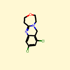 Clc1cc(Cl)c2c(c1)N=C1CCOCCN1C2